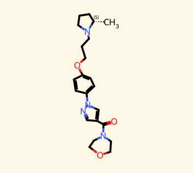 C[C@H]1CCCN1CCCOc1ccc(-n2cc(C(=O)N3CCOCC3)cn2)cc1